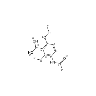 CCOc1ccc(NC(C)=O)c(CC)c1N(O)O